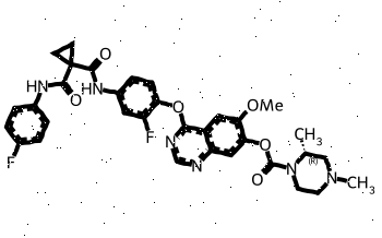 COc1cc2c(Oc3ccc(NC(=O)C4(C(=O)Nc5ccc(F)cc5)CC4)cc3F)ncnc2cc1OC(=O)N1CCN(C)C[C@H]1C